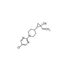 C=CC1(C#N)CC1C1CCN(c2ncc(Cl)cn2)CC1